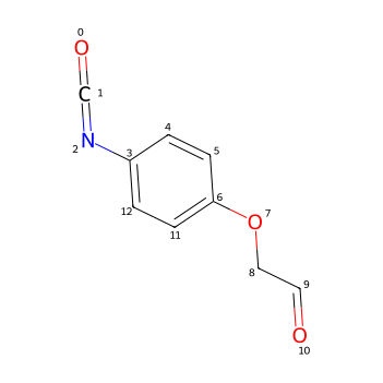 O=C=Nc1ccc(OCC=O)cc1